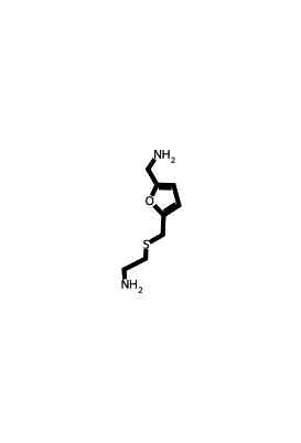 NCCSCc1ccc(CN)o1